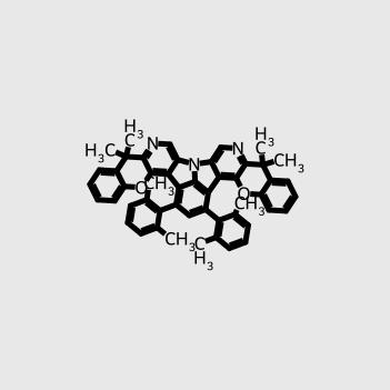 Cc1cccc(C)c1-c1cc(-c2c(C)cccc2C)c2c3c4c(ncc3n3c5cnc6c(c5c1c23)Oc1ccccc1C6(C)C)C(C)(C)c1ccccc1O4